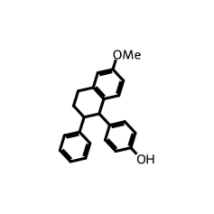 COc1ccc2c(c1)CCC(c1ccccc1)C2c1ccc(O)cc1